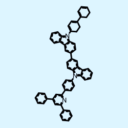 C1=CCCC(C2=CC=C(n3c4ccccc4c4cc(-c5ccc6c(c5)c5ccccc5n6-c5ccc(-c6cc(-c7ccccc7)cc(-c7ccccc7)n6)cc5)ccc43)CC2)=C1